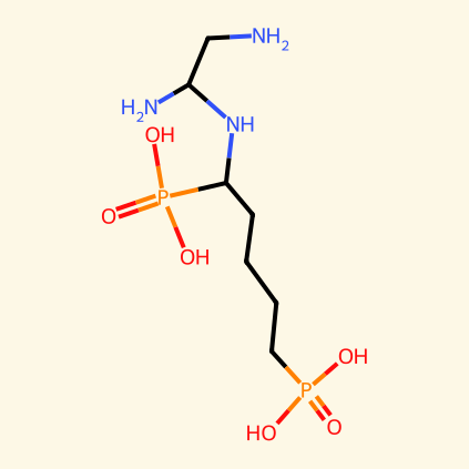 NCC(N)NC(CCCCP(=O)(O)O)P(=O)(O)O